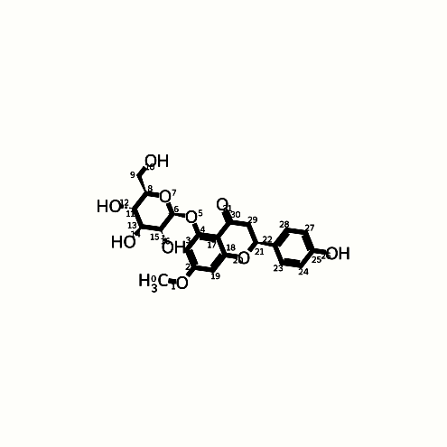 COc1cc(O[C@@H]2O[C@H](CO)[C@@H](O)[C@H](O)[C@H]2O)c2c(c1)O[C@H](c1ccc(O)cc1)CC2=O